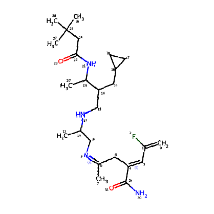 C=C(F)/C=C(\C/C(C)=N\CC(C)NCC(CC1CC1)C(C)NC(=O)CC(C)(C)C)C(N)=O